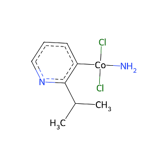 CC(C)c1nccc[c]1[Co]([NH2])([Cl])[Cl]